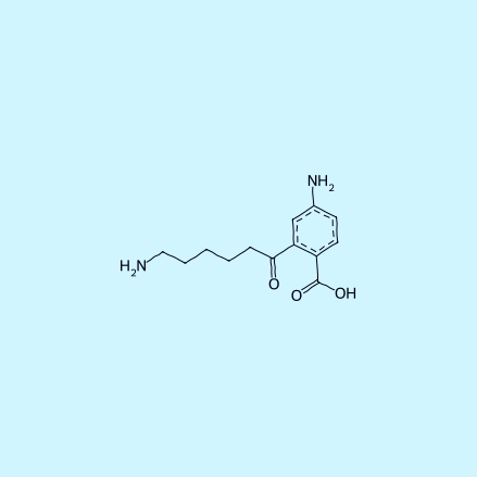 NCCCCCC(=O)c1cc(N)ccc1C(=O)O